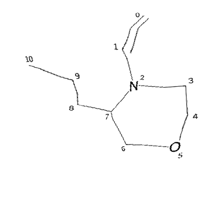 C=CN1CCOCC1CCC